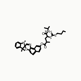 CCCCSC(=S)SC(CC(C)C(=O)Oc1ccc2ccc3c(c2c1)N=CC1(O3)N(C)c2ccccc2C1(C)C)C(=O)NC(C)C